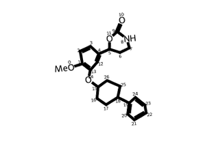 COc1ccc(C2CCNC(=O)O2)cc1OC1CCC(c2ccccc2)CC1